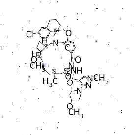 COC1CCN(c2nn(C)cc2C(=O)N[S@@]2(=O)=NC(=O)c3ccc4c(c3)N(C[C@@H]3CC[C@H]3[C@@H](OC)/C=C/C[C@H](C)C2)C[C@@]2(CCCc3cc(Cl)ccc32)CO4)CC1